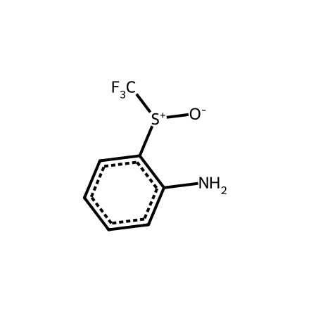 Nc1ccccc1[S+]([O-])C(F)(F)F